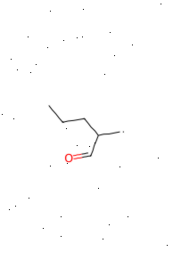 [CH2]C(C=O)CCC